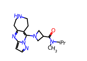 CC(C)N(C)C(=O)C1CN(c2c3c(nc4ccnn24)CCNCC3)C1